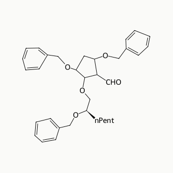 CCCCC[C@H](COC1C(OCc2ccccc2)CC(OCc2ccccc2)C1C=O)OCc1ccccc1